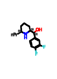 CCC[C@H]1CCC[C@@H]([C@@H](O)c2ccc(F)c(F)c2)N1